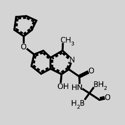 BC(B)(C=O)NC(=O)c1nc(C)c2cc(Oc3ccccc3)ccc2c1O